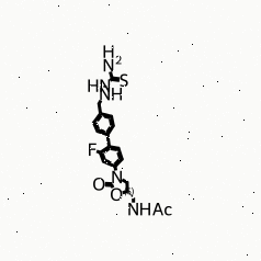 CC(=O)NC[C@H]1CN(c2ccc(-c3ccc(CNNC(N)=S)cc3)c(F)c2)C(=O)O1